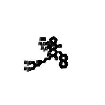 CCC(CC)CNCCCNC(=O)[C@@H](Cc1ccc2ccccc2c1)N(C(=O)[C@@H]1CCCN1)C(=O)C(C)(C)OC.Cl